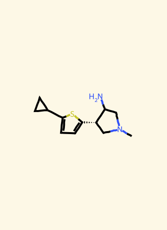 CN1CC(N)[C@@H](c2ccc(C3CC3)s2)C1